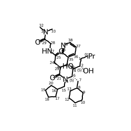 CC(C)C[C@H](O)[C@H](O)[C@H](CC1CCCCC1)N(CC1CCCC1)C(=O)[C@@H](CC(=O)NCC(=O)N(C)C)Cc1cccnc1